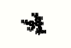 COc1ccc(-c2cc(=O)[nH]c(=S)n2C[C@@H](O)CN)c(OC)c1.O=C(O)C(F)(F)F